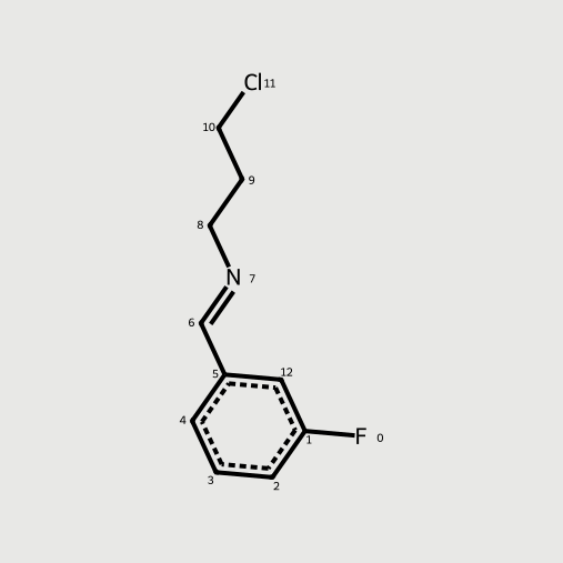 Fc1cccc(C=NCCCCl)c1